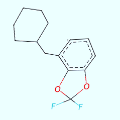 FC1(F)Oc2cc[c]c(CC3CCCCC3)c2O1